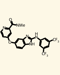 CNC(=O)c1cc(Oc2ccc3[nH]c(Nc4cc(C(F)(F)F)cc(C(F)(F)F)c4)nc3c2)ccn1